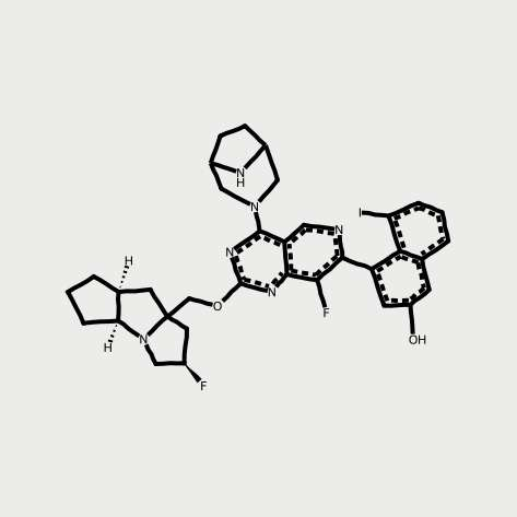 Oc1cc(-c2ncc3c(N4CC5CCC(C4)N5)nc(OCC45C[C@@H](F)CN4[C@H]4CCC[C@H]4C5)nc3c2F)c2c(I)cccc2c1